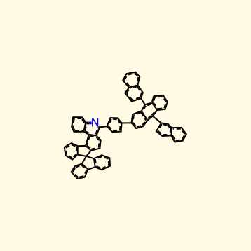 c1ccc2c(c1)-c1ccccc1C21c2ccccc2-c2c1ccc1c(-c3ccc(-c4ccc5c(-c6ccc7ccccc7c6)c6ccccc6c(-c6ccc7ccccc7c6)c5c4)cc3)nc3ccccc3c21